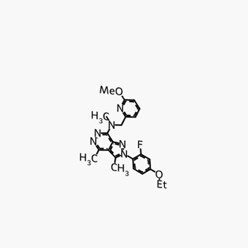 CCOc1ccc(-n2nc3c(N(C)Cc4cccc(OC)n4)nnc(C)c3c2C)c(F)c1